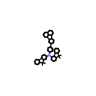 CC1(C)c2ccccc2-c2ccc(N(c3ccc(-c4ccc5c(c4)-c4cccc6cccc-5c46)cc3)c3cccc4c3-c3ccccc3C4(C)C)cc21